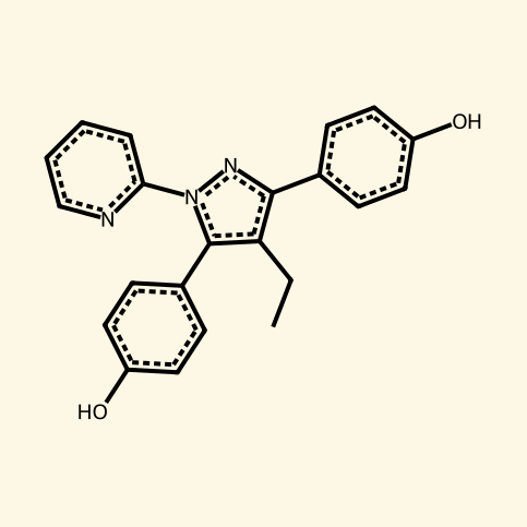 CCc1c(-c2ccc(O)cc2)nn(-c2ccccn2)c1-c1ccc(O)cc1